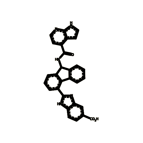 O=C(O)c1ccc2[nH]c(-c3cccc4c3-c3ccccc3C4NC(=O)c3ccnc4[nH]ccc34)nc2c1